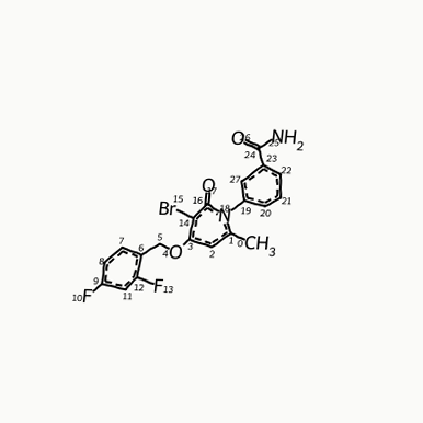 Cc1cc(OCc2ccc(F)cc2F)c(Br)c(=O)n1-c1cccc(C(N)=O)c1